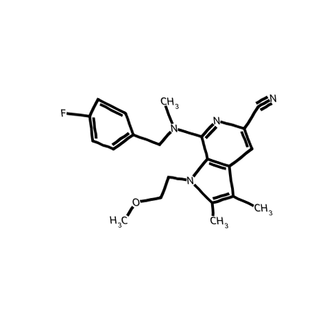 COCCn1c(C)c(C)c2cc(C#N)nc(N(C)Cc3ccc(F)cc3)c21